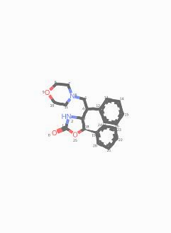 O=C1NC(C(CN2CCOCC2)c2ccccc2)[C@@H](c2ccccc2)O1